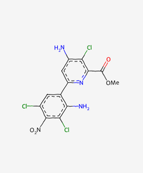 COC(=O)c1nc(-c2cc(Cl)c([N+](=O)[O-])c(Cl)c2N)cc(N)c1Cl